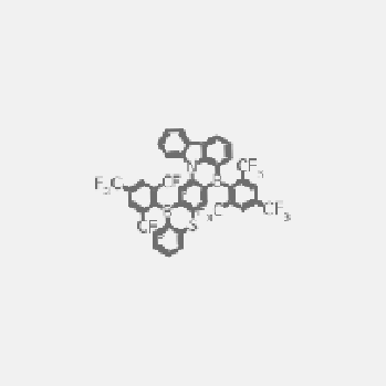 FC(F)(F)c1cc(C(F)(F)F)c(B2c3ccccc3Sc3cc4c(cc32)-n2c3ccccc3c3cccc(c32)B4c2c(C(F)(F)F)cc(C(F)(F)F)cc2C(F)(F)F)c(C(F)(F)F)c1